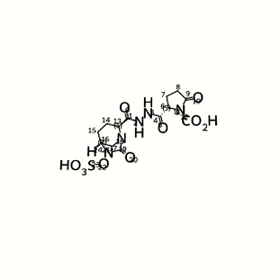 O=C(NNC(=O)[C@@H]1CCC(=O)N1C(=O)O)[C@@H]1CC[C@@H]2CN1C(=O)N2OS(=O)(=O)O